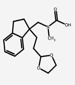 CN(CC1(CCC2OCCO2)CCc2ccccc21)C(=O)O